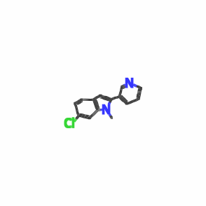 Cn1c(-c2cccnc2)cc2ccc(Cl)cc21